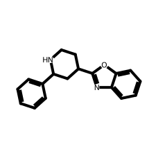 c1ccc(C2CC(c3nc4ccccc4o3)CCN2)cc1